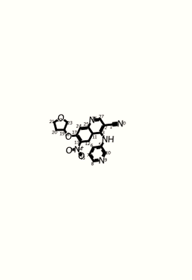 N#CC1=C(Nc2cccnc2)C2CC([N+](=O)[O-])=C(OC3CCOC3)C=C2N=C1